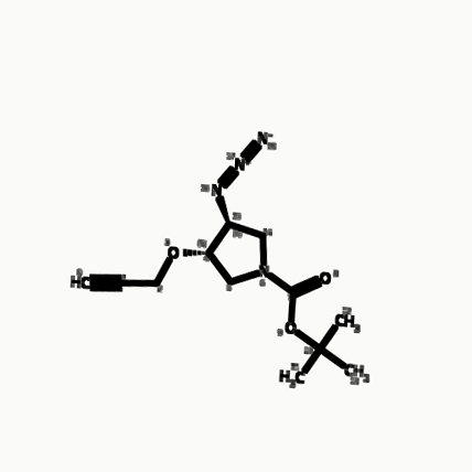 C#CCO[C@H]1CN(C(=O)OC(C)(C)C)C[C@@H]1N=[N+]=[N-]